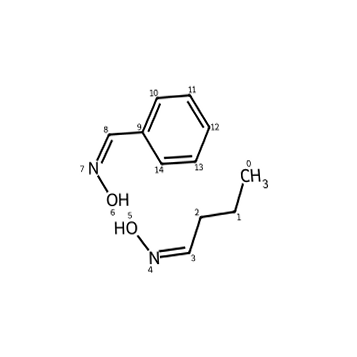 CCC/C=N\O.O/N=C\c1ccccc1